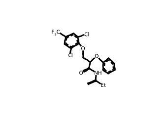 C=C(CC)NC(=O)C(COc1c(Cl)cc(C(F)(F)F)cc1Cl)Oc1ccccc1